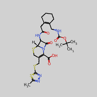 Cc1nnc(SCC2=C(C(=O)O)N3C(=O)C(NC(=O)CC4=C(CNC(=O)OC(C)(C)C)CCCC4)[C@H]3SC2)s1